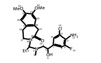 CCC(N(C)CC(O)c1cc(F)c(N)c(Cl)c1)N1CCc2cc(OC)c(OC)cc2CC1=O